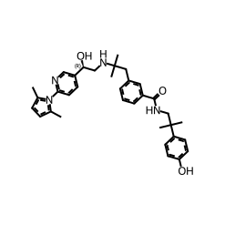 Cc1ccc(C)n1-c1ccc([C@@H](O)CNC(C)(C)Cc2cccc(C(=O)NCC(C)(C)c3ccc(O)cc3)c2)cn1